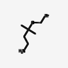 CC(C)COC(C)(C)CCN